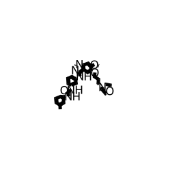 COc1cc2ncnc(Nc3cccc(NC(=O)Nc4cccc(C)c4)c3)c2cc1OCCCN1CCOCC1